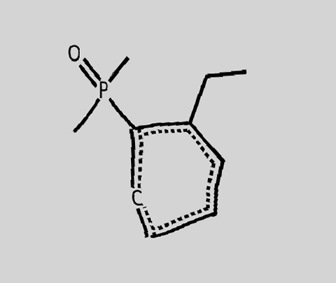 CCc1ccccc1P(C)(C)=O